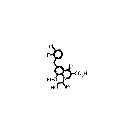 CCOc1cc(Cc2cccc(Cl)c2F)cc2c(=O)c(C(=O)O)cn(C(CO)C(C)C)c12